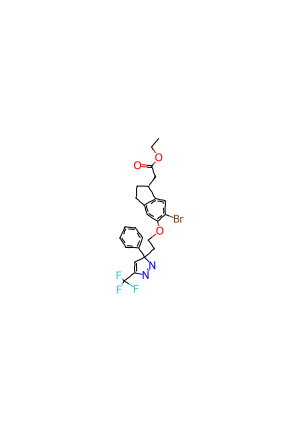 CCOC(=O)C[C@@H]1CCc2cc(OCCC3(c4ccccc4)C=C(C(F)(F)F)N=N3)c(Br)cc21